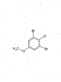 COc1cc(Br)c(Cl)c(Br)c1